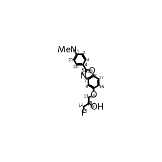 CNc1ccc(-c2nc3cc(OC[C@@H](O)CF)ccc3o2)cc1